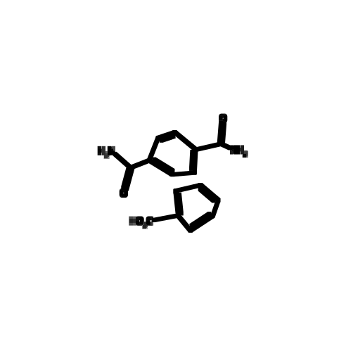 NC(=O)c1ccc(C(N)=O)cc1.O=C(O)c1ccccc1